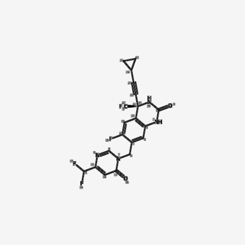 O=C1Nc2cc(Cn3cnc(C(F)F)cc3=O)c(F)cc2[C@@](C#CC2CC2)(C(F)(F)F)N1